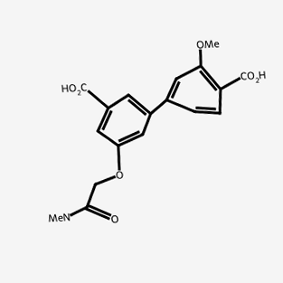 CNC(=O)COc1cc(C(=O)O)cc(-c2ccc(C(=O)O)c(OC)c2)c1